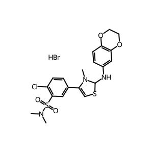 Br.CN1C(c2ccc(Cl)c(S(=O)(=O)N(C)C)c2)=CSC1Nc1ccc2c(c1)OCCO2